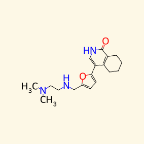 CN(C)CCNCc1ccc(-c2c[nH]c(=O)c3c2CCCC3)o1